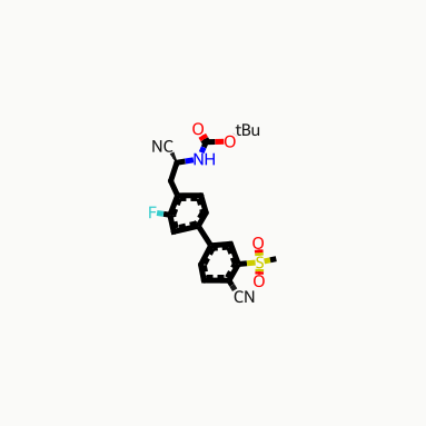 CC(C)(C)OC(=O)N[C@H](C#N)Cc1ccc(-c2ccc(C#N)c(S(C)(=O)=O)c2)cc1F